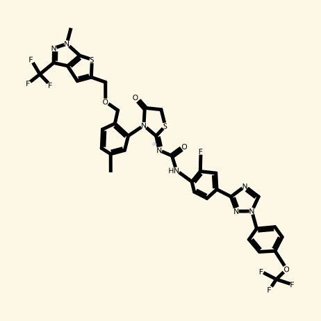 Cc1ccc(COCc2cc3c(C(F)(F)F)nn(C)c3s2)c(N2C(=O)CS/C2=N\C(=O)Nc2ccc(-c3ncn(-c4ccc(OC(F)(F)F)cc4)n3)cc2F)c1